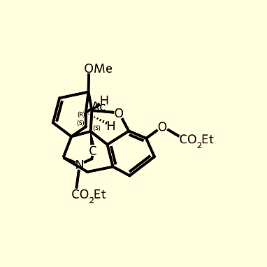 CCOC(=O)Oc1ccc2c3c1O[C@H]1C4(OC)C=CC5(C[C@@H]4C(C)=O)C(C2)N(C(=O)OCC)CC[C@]315